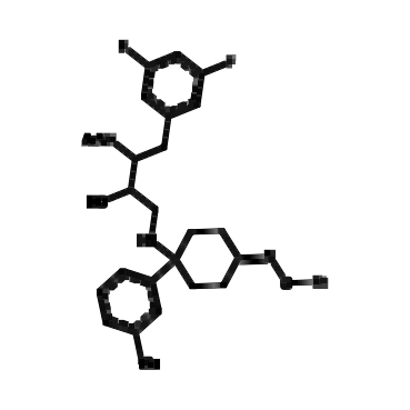 CCON=C1CCC(NCC(O)C(Cc2cc(F)cc(F)c2)NC(C)=O)(c2cccc(C(C)(C)C)c2)CC1